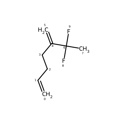 C=CCCC(=C)C(C)(F)F